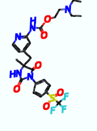 CCN(CC)CCOC(=O)Nc1cc(CC2(C)NC(=O)N(c3ccc(S(=O)(=O)C(F)(F)F)cc3)C2=O)ccn1